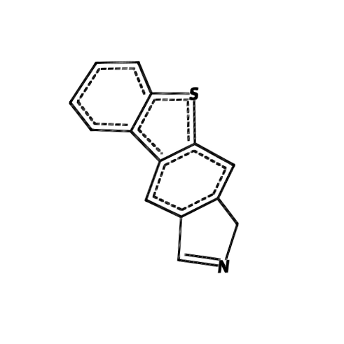 C1=NCc2cc3sc4ccccc4c3cc21